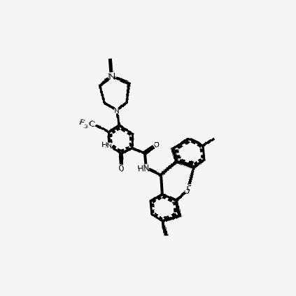 Cc1ccc2c(c1)Sc1cc(C)ccc1C2NC(=O)c1cc(N2CCN(C)CC2)c(C(F)(F)F)[nH]c1=O